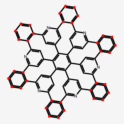 c1ccc(-c2cc(-c3c(-c4cc(-c5ccccc5)nc(-c5ccccc5)c4)c(-c4cc(-c5ccccc5)nc(-c5ccccc5)c4)c(-c4cc(-c5ccccc5)nc(-c5ccccc5)c4)c(-c4cc(-c5ccccc5)nc(-c5ccccc5)c4)c3-c3cc(-c4ccccc4)nc(-c4ccccc4)c3)cc(-c3ccccc3)n2)cc1